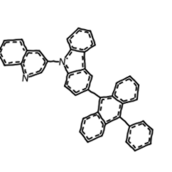 c1ccc(-c2c3ccccc3c(-c3ccc4c(c3)c3ccccc3n4-c3cnc4ccccc4c3)c3ccccc23)cc1